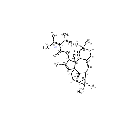 CC(=N)/C(C(=O)OC1C(C)=CC23CCC4C(C(C=C5COC(C)(C)OC5C12O)C3=O)C4(C)C)=C(/C)O